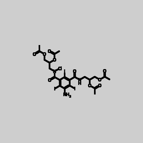 CC(=O)OCC(CNC(=O)c1c(I)c(N)c(I)c(C(=O)N(Cl)CC(COC(C)=O)OC(C)=O)c1I)OC(C)=O